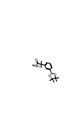 CNC(=O)C(C)(C)c1cccc(B2OC(C)(C)C(C)(C)O2)c1